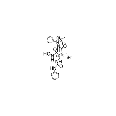 CC(C)C[C@@H](C(=O)NN(c1ccccc1)S(C)(=O)=O)[C@H](CNC(=O)Nc1ccccc1)C(=O)NO